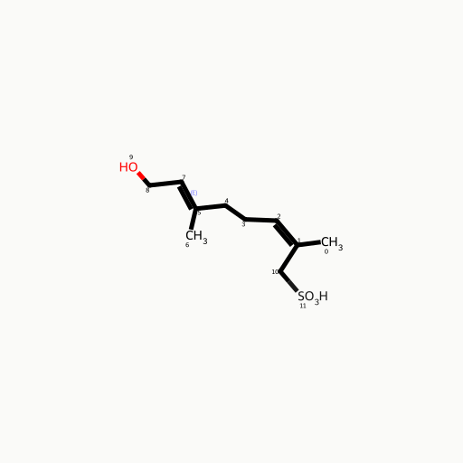 CC(=CCC/C(C)=C/CO)CS(=O)(=O)O